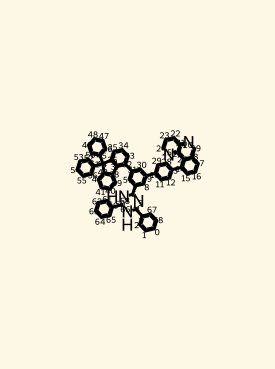 c1ccc(C2=NC(c3cc(-c4ccc(-c5cccc6cnc7cccnc7c56)cc4)cc(-c4cccc5c4-c4ccccc4C5(c4ccccc4)c4ccccc4)c3)NC(c3ccccc3)N2)cc1